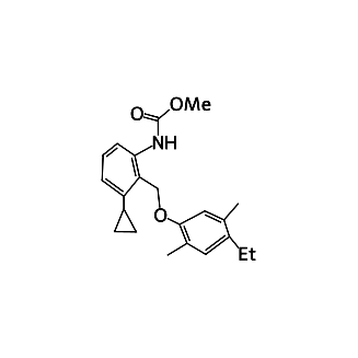 CCc1cc(C)c(OCc2c(NC(=O)OC)cccc2C2CC2)cc1C